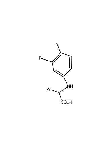 Cc1ccc(NC(C(=O)O)C(C)C)cc1F